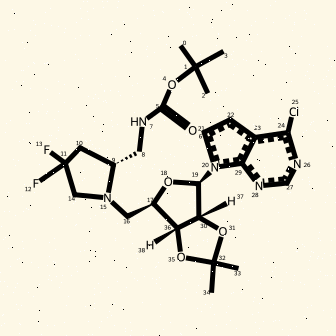 CC(C)(C)OC(=O)NC[C@H]1CC(F)(F)CN1C[C@H]1O[C@@H](n2ccc3c(Cl)ncnc32)[C@@H]2OC(C)(C)O[C@@H]21